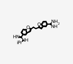 CC(C)NC(=N)c1ccc2oc(CCc3cc4cc(C(=N)N)ccc4o3)cc2c1